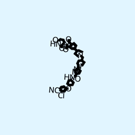 N#Cc1ccc(O[C@H]2CC[C@H](NC(=O)c3ccc(N4CCC(CN5CCC(c6ccc7c(c6)C(=O)N(C6CCC(=O)NC6=O)C7=O)CC5)CC4)nn3)CC2)cc1Cl